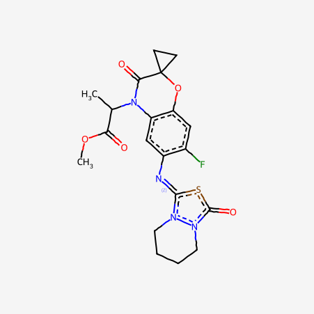 COC(=O)C(C)N1C(=O)C2(CC2)Oc2cc(F)c(/N=c3\sc(=O)n4n3CCCC4)cc21